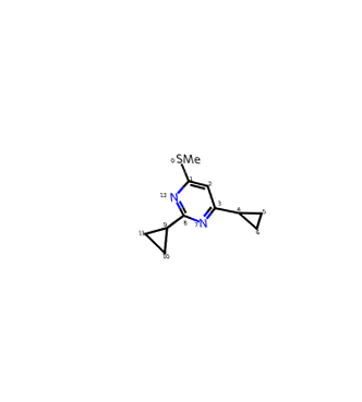 CSc1cc(C2CC2)nc(C2CC2)n1